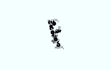 CC(C)c1ccccc1[C@@H]1COCCN1C1CC2(CCN(c3ccc(C(=O)NS(=O)(=O)c4cc5c(c([N+](=O)[O-])c4)O[C@H]([C@H]4CC[C@](C)(O)CC4)CO5)c(Oc4cnc5[nH]ccc5c4)c3)CC2)C1